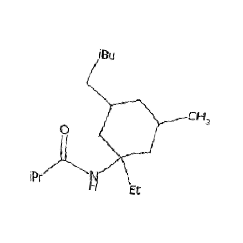 CCC(C)CC1CC(C)CC(CC)(NC(=O)C(C)C)C1